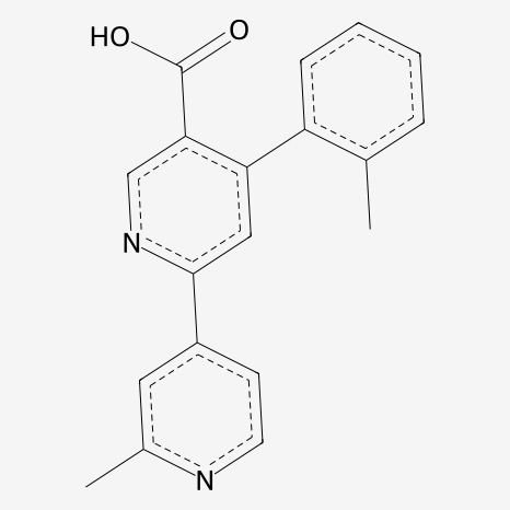 Cc1cc(-c2cc(-c3ccccc3C)c(C(=O)O)cn2)ccn1